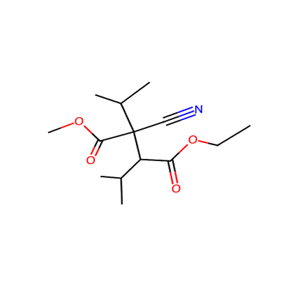 CCOC(=O)C(C(C)C)C(C#N)(C(=O)OC)C(C)C